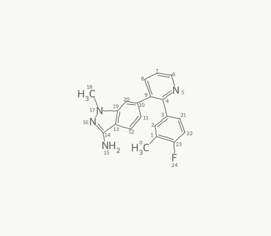 Cc1cc(-c2ncccc2-c2ccc3c(N)nn(C)c3c2)ccc1F